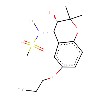 CCN([C@H]1c2cc(OCCC(F)(F)F)ccc2OC(C)(C)[C@@H]1O)S(C)(=O)=O